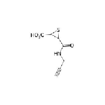 C#CCNC(=O)C1SC1C(=O)O